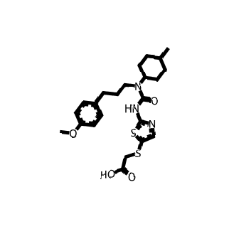 COc1ccc(CCCN(C(=O)Nc2ncc(SCC(=O)O)s2)C2CCC(C)CC2)cc1